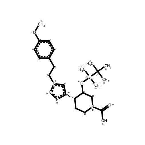 COc1ccc(CCn2cc([C@H]3CCN(C(=O)O)C[C@@H]3O[Si](C)(C)C(C)(C)C)nn2)cc1